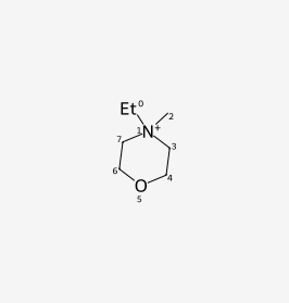 CC[N+]1(C)CCOCC1